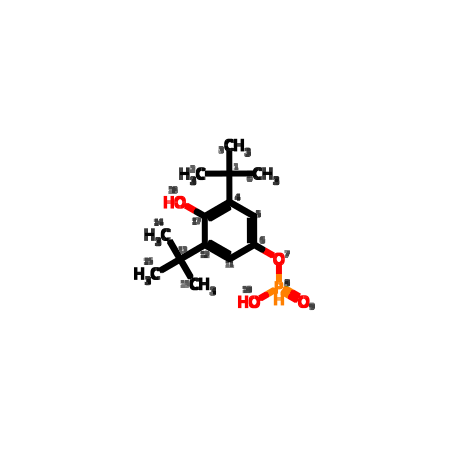 CC(C)(C)c1cc(O[PH](=O)O)cc(C(C)(C)C)c1O